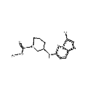 CC(C)(C)OC(=O)N1CCCC(Nc2ccc3ncc(Br)n3n2)C1